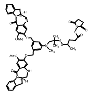 COc1cc2c(cc1OCc1cc(COc3cc4c(cc3OC)C(=O)N3c5ccccc5C[C@H]3CN4)cc(N(C)CC(C)(C)SSC(C)CCC(=O)ON3C(=O)CCC3=O)c1)N=C[C@@H]1Cc3ccccc3N1C2=O